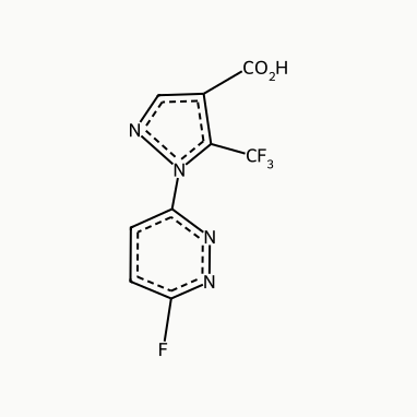 O=C(O)c1cnn(-c2ccc(F)nn2)c1C(F)(F)F